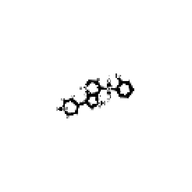 O=S(=O)(c1ccccc1F)c1ccnc2c(C3=CCNCC3)c[nH]c12